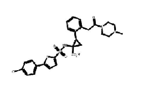 CN1CCN(C(=O)Cc2ccccc2C2CC2(NS(=O)(=O)c2ccc(-c3ccc(Cl)cc3)s2)C(=O)O)CC1